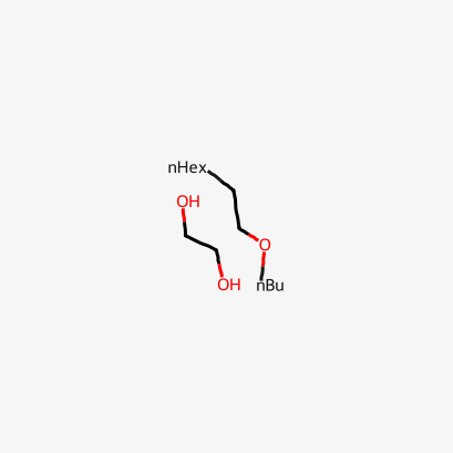 CCCCCCCCOCCCC.OCCO